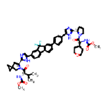 COC(=O)N[C@H](C(=O)N1CC2(CC2)C[C@H]1c1ncc(-c2ccc3c(c2)C(F)(F)c2cc(-c4ccc(-c5cnc([C@@H]6CCCN6C(=O)[C@@H](NC(=O)OC)C6CCOCC6)[nH]5)cc4)ccc2-3)[nH]1)C(C)C